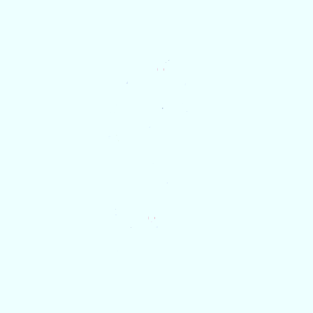 CCC(C)(C)c1cc(Sc2cc(C(C)(C)CC)c(O)cc2C)c(C)cc1O